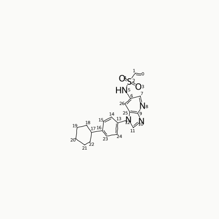 C=CS(=O)(=O)Nc1cnc2ncn(-c3ccc(C4CCCCC4)cc3)c2c1